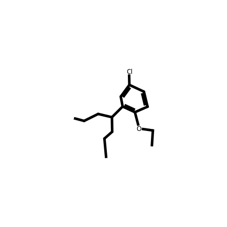 CCCC(CCC)c1cc(Cl)ccc1OCC